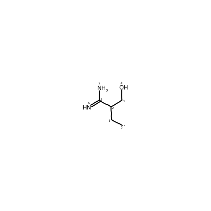 [CH2]CC(CO)C(=N)N